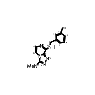 CNc1nnc2c(NCc3cccc(C)c3)nccn12